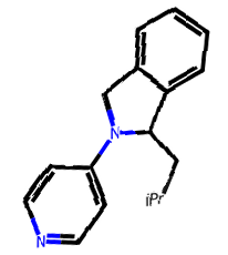 CC(C)CC1c2ccccc2CN1c1ccncc1